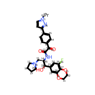 CC(C)n1ccc(-c2ccc(C(=O)C(=O)N[C@H](CN3CCCC3)[C@H](O)c3cc(F)c4c(c3)OCCO4)cc2)n1